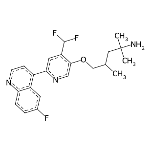 CC(COc1cnc(-c2ccnc3ccc(F)cc23)cc1C(F)F)CC(C)(C)N